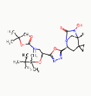 CC(C)(C)OC(=O)NCC(O[Si](C)(C)C(C)(C)C)c1nnc([C@@H]2CC3(CC3)[C@@H]3CN2C(=O)N3O)o1